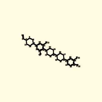 C=CC1CCC(c2cc(F)c(C3CCC(C4CCC(c5ccc(F)c(F)c5)CC4)CC3)c(F)c2)CC1